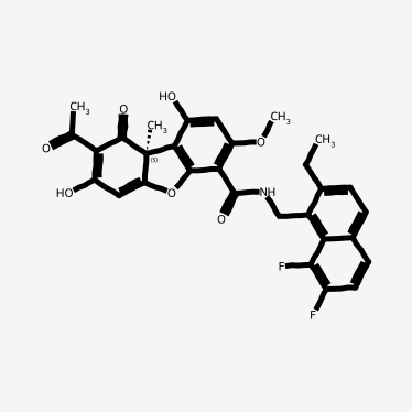 CCc1ccc2ccc(F)c(F)c2c1CNC(=O)c1c(OC)cc(O)c2c1OC1=CC(O)=C(C(C)=O)C(=O)[C@]12C